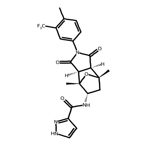 Cc1ccc(N2C(=O)[C@@H]3[C@H](C2=O)[C@]2(C)O[C@@]3(C)C[C@@H]2NC(=O)c2cc[nH]n2)cc1C(F)(F)F